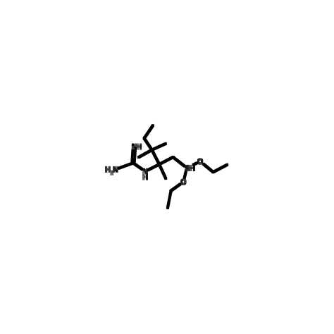 CCO[SiH](CC(C)(NC(=N)N)C(C)(C)CC)OCC